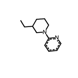 CCC1CCCN(c2ccccn2)C1